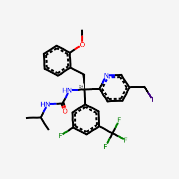 COc1ccccc1C[C@](NC(=O)NC(C)C)(c1cc(F)cc(C(F)(F)F)c1)c1ccc(CI)cn1